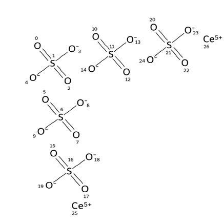 O=S(=O)([O-])[O-].O=S(=O)([O-])[O-].O=S(=O)([O-])[O-].O=S(=O)([O-])[O-].O=S(=O)([O-])[O-].[Ce+5].[Ce+5]